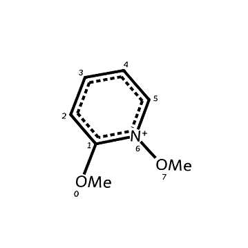 COc1cccc[n+]1OC